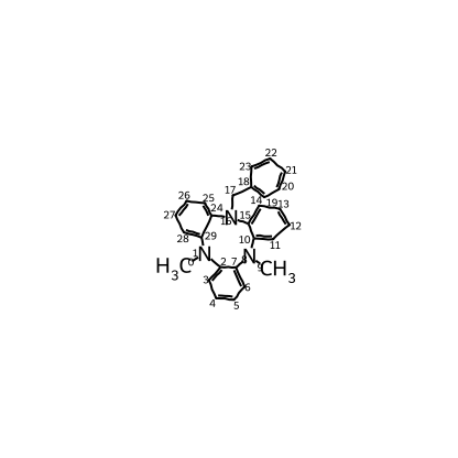 CN1c2ccccc2N(C)c2ccccc2N(Cc2ccccc2)c2ccccc21